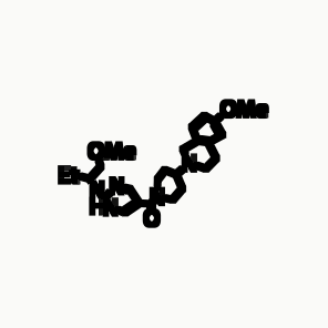 CCC(COC)Nc1ncc(C(=O)N2CCC(N3CCc4cc(OC)ccc4C3)CC2)cn1